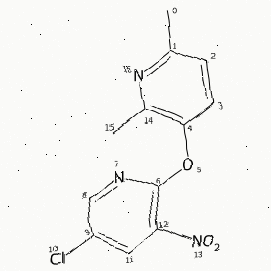 Cc1ccc(Oc2ncc(Cl)cc2[N+](=O)[O-])c(C)n1